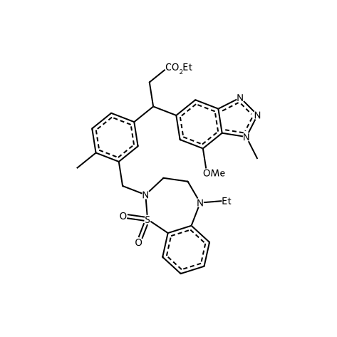 CCOC(=O)CC(c1ccc(C)c(CN2CCN(CC)c3ccccc3S2(=O)=O)c1)c1cc(OC)c2c(c1)nnn2C